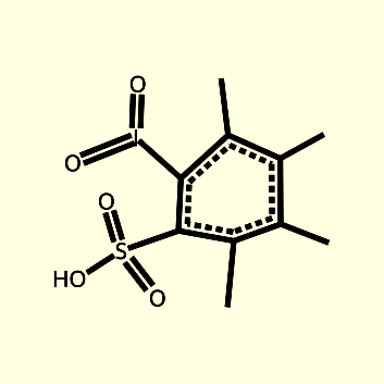 Cc1c(C)c(C)c(S(=O)(=O)O)c(I(=O)=O)c1C